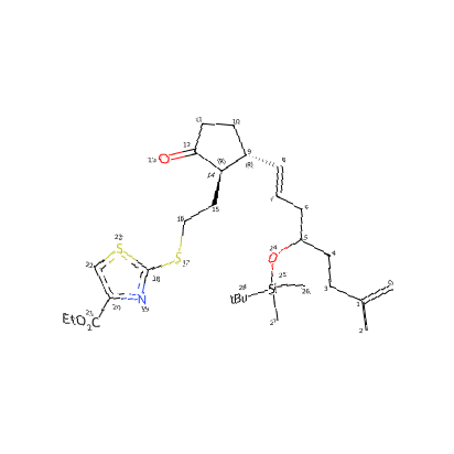 C=C(C)CCC(CC=C[C@H]1CCC(=O)[C@@H]1CCSc1nc(C(=O)OCC)cs1)O[Si](C)(C)C(C)(C)C